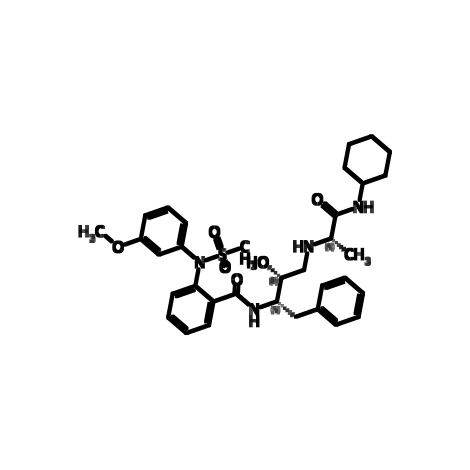 COc1cccc(N(c2ccccc2C(=O)N[C@@H](Cc2ccccc2)[C@H](O)CN[C@@H](C)C(=O)NC2CCCCC2)S(C)(=O)=O)c1